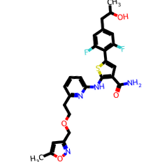 Cc1cc(COCCc2cccc(Nc3sc(-c4c(F)cc(CC(C)O)cc4F)cc3C(N)=O)n2)no1